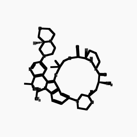 CO[C@@H](C)c1ncc(N2CCN3CCOC[C@@H]3C2)cc1-c1c2c3cc(ccc3n1CC(F)(F)F)N1CCO[C@@H](C[C@H](N)C(=O)N3CCC[C@H](N3)C(=O)OCC(C)(C)C2)C1